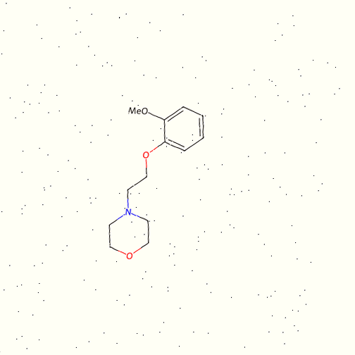 COc1c[c]ccc1OCCN1CCOCC1